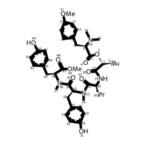 CC[C@H](C)[C@@H](OC(=O)[C@@H](Cc1ccc(OC)cc1)N(C)C)C(=O)N[C@H](C(=O)N(C)[C@@H](Cc1ccc(O)cc1)C(=O)N(C)[C@@H](Cc1ccc(O)cc1)C(=O)OC)C(C)C